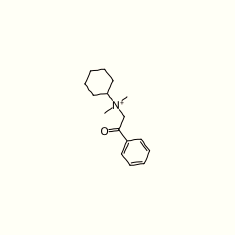 C[N+](C)(CC(=O)c1ccccc1)C1CCCCC1